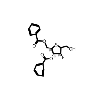 O=C(OC[C@H]1SC(CO)[C@@H](F)[C@@H]1OC(=O)c1ccccc1)c1ccccc1